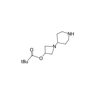 CC(C)(C)C(=O)OC1CN(C2CCNCC2)C1